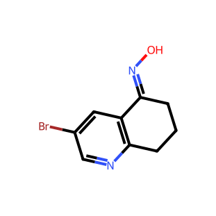 O/N=C1\CCCc2ncc(Br)cc21